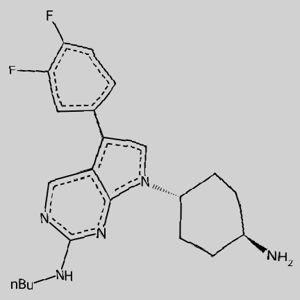 CCCCNc1ncc2c(-c3ccc(F)c(F)c3)cn([C@H]3CC[C@H](N)CC3)c2n1